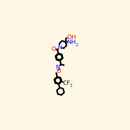 C/C(=N\OCc1ccc(C2CCCCC2)c(C(F)(F)F)c1)c1ccc(C(=O)N2CCC(N)(CO)CC2)cc1